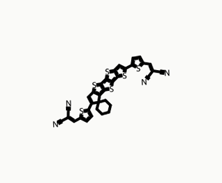 N#CC(C#N)=Cc1ccc(C2=Cc3sc4c(sc5c6sc(-c7ccc(C=C(C#N)C#N)s7)cc6sc45)c3C23CCCCC3)s1